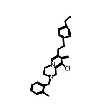 C=C1C(CCc2ccc(CC)cc2)=CN2CCN(Cc3ccccc3C)CC2=C1Cl